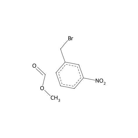 COC=O.O=[N+]([O-])c1cccc(CBr)c1